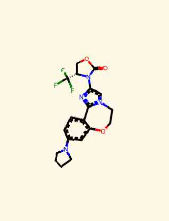 O=C1OC[C@@H](C(F)(F)F)N1c1cn2c(n1)-c1ccc(N3CCCC3)cc1OCC2